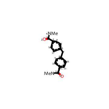 CNC(=O)c1ccc(Cc2ccc(C(=O)NC)cc2)cc1